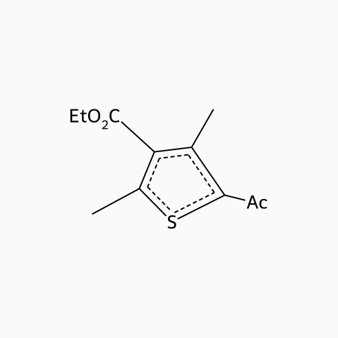 CCOC(=O)c1c(C)sc(C(C)=O)c1C